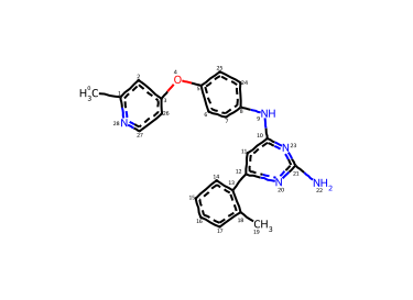 Cc1cc(Oc2ccc(Nc3cc(-c4ccccc4C)nc(N)n3)cc2)ccn1